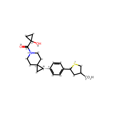 O=C(O)C1CSC(c2ccc([C@@H]3CC34CCN(C(=O)C3(O)CC3)CC4)cc2)C1